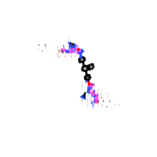 COC(=O)NC(C(=O)N1C2CC2C[C@H]1c1ncc(-c2ccc(-c3ccc(-c4ccc(-c5cnc([C@H](CC6CC6)NC(=O)[C@@H](NC(=O)OC)C(C)C)[nH]5)cc4)c4c3C3CCC4C3)cc2)[nH]1)C(C)C